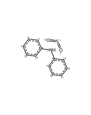 O=S=O.c1ccc(Nc2ccccc2)cc1